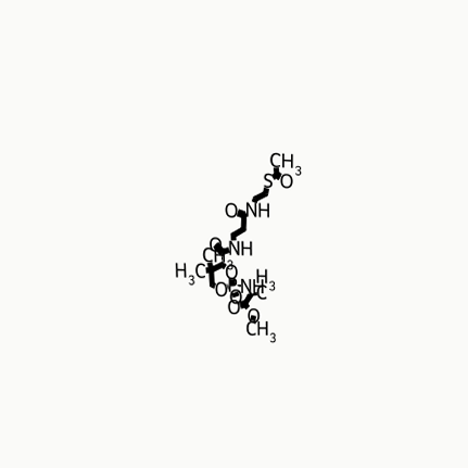 COC(=O)[C@H](C)N[P@]1(=O)OCC(C)(C)[C@H](C(=O)NCCC(=O)NCCSC(C)=O)O1